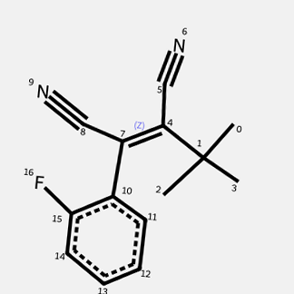 CC(C)(C)/C(C#N)=C(/C#N)c1ccccc1F